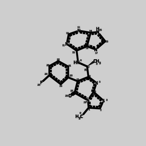 Cc1csc2nc([C@@H](C)Nc3ncnc4[nH]cnc34)c(-c3cccc(F)c3)c(=O)n12